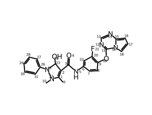 CC1=C(C(=O)Nc2ccc(Oc3ncnc4cccn34)c(F)c2)C(O)N(c2ccccc2)N1C